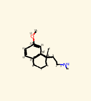 CNCCC1(C)CCCc2ccc(OC)cc21